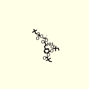 CCC(C)(C)C(=O)Oc1ccc(C[C@H](N)C(=O)O[C@@H](C)COC(=O)OCC(C)(C)C)cc1OC(=O)C(C)(C)CC